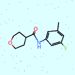 Cc1cc(F)cc(NC(=O)C2CCOCC2)c1